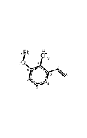 C=[C]c1cccc(OCC)c1C(F)(F)F